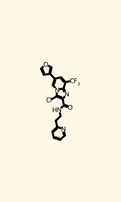 O=C(NCCc1ccccn1)c1nc2c(C(F)(F)F)cc(-c3ccoc3)cn2c1Cl